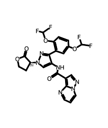 O=C(Nc1cn([C@H]2CCOC2=O)nc1-c1cc(OC(F)F)ccc1OC(F)F)c1cnn2cccnc12